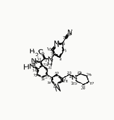 C=C(Nc1ccc(C#N)nc1)c1n[nH]c2ccc(-c3cncc(CN4CCCCC4)c3)cc12